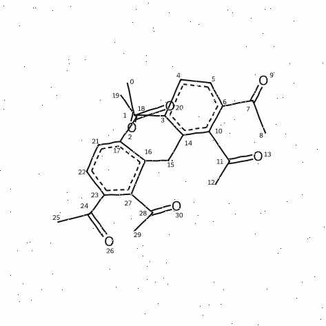 CC(=O)c1ccc(C(C)=O)c(C(C)=O)c1[CH]c1c(C(C)=O)ccc(C(C)=O)c1C(C)=O